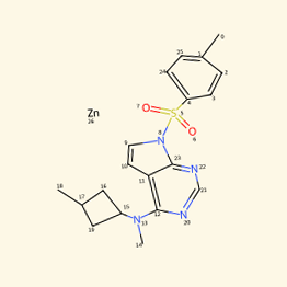 Cc1ccc(S(=O)(=O)n2ccc3c(N(C)C4CC(C)C4)ncnc32)cc1.[Zn]